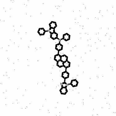 c1ccc(N(c2ccc(-c3ccc4ccc5c(-c6ccc(-c7nc8ccccc8n7-c7ccccc7)cc6)ccc6ccc3c4c65)cc2)c2ccc3c(c2)c2ccccc2n3-c2ccccc2)cc1